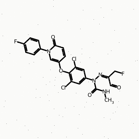 CNC(=O)N(/N=C(\C=O)CF)c1cc(Cl)c(Oc2ccc(=O)n(-c3ccc(F)cc3)c2)c(Cl)c1